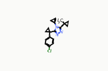 CC1(c2nnc(C3(c4ccc(Cl)cc4)CC3)n2C2CC2)CC1